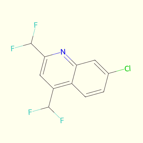 FC(F)c1cc(C(F)F)c2ccc(Cl)cc2n1